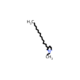 CCCCCCCCCCCCCCCc1ccc[n+](CCC)c1